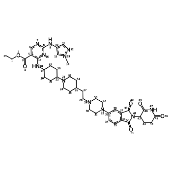 CCOC(=O)c1cnc(Nc2cnn(C)c2)nc1NC1CCC(N2CCC(CCN3CCN(c4ccc5c(c4)C(=O)N(C4CCC(=O)NC4=O)C5=O)CC3)CC2)CC1